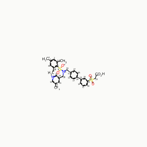 Cc1cc(C)c(S(=O)(=O)N(Cc2ccc(-c3cccc(S(=O)(=O)CC(=O)O)c3)cc2)Cc2cncc(C(F)(F)F)c2)c(C)c1